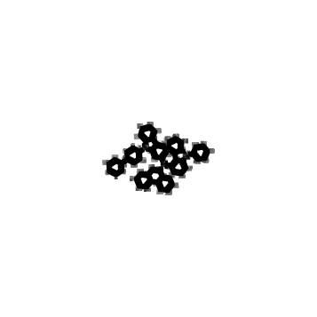 c1ccc(-c2ccc(-n3c4ccccc4c4ccc(N(c5cc6ccccc6c6ccccc56)c5cccc6c5c5ccccc5n6-c5ccccc5)cc43)cc2)cc1